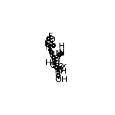 COc1cc(CN2CCN(C3CC4(CCN(c5ccc(C(=O)NS(=O)(=O)c6ccc(NC[C@H]7CC[C@](C)(O)CC7)c([N+](=O)[O-])c6)c(Oc6cnc7[nH]ccc7c6)c5)CC4)C3)C(c3ccccc3C(C)C)C2)ccc1F